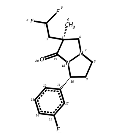 C[C@]1(CC(F)F)CN2CC[C@H](c3cccc(F)c3)N2C1=O